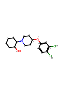 OC1[CH]CCCC1N1CCC(Oc2ccc(Cl)c(Cl)c2)CC1